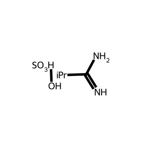 CC(C)C(=N)N.O=S(=O)(O)O